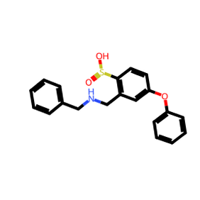 O=S(O)c1ccc(Oc2ccccc2)cc1CNCc1ccccc1